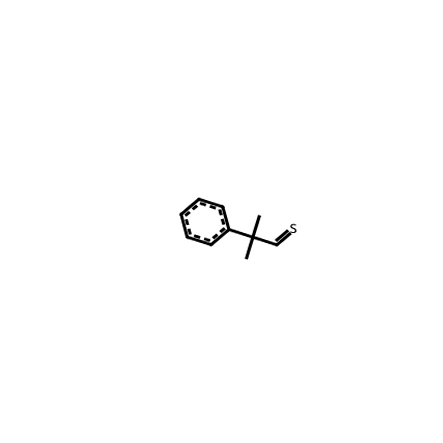 CC(C)(C=S)c1ccccc1